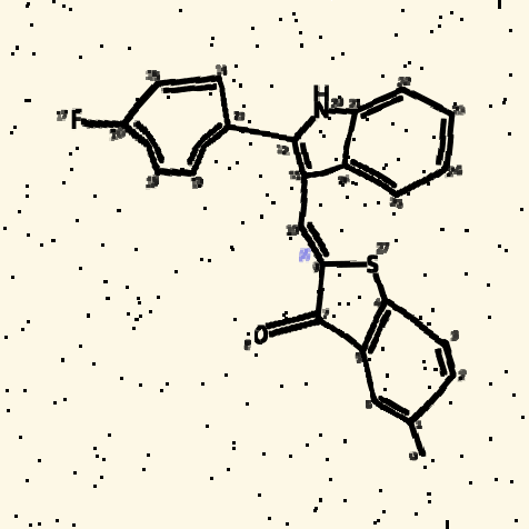 Cc1ccc2c(c1)C(=O)/C(=C/c1c(-c3ccc(F)cc3)[nH]c3ccccc13)S2